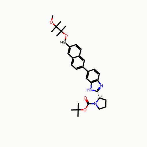 COC(C)(C)C(C)(C)OBc1ccc2cc(-c3ccc4nc([C@@H]5CCCN5C(=O)OC(C)(C)C)[nH]c4c3)ccc2c1